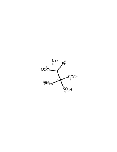 CCCCCCC(C(=O)[O-])(C(CC)C(=O)[O-])S(=O)(=O)O.[Na+].[Na+]